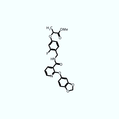 COC(=O)C(C)Oc1ccc(CNC(=O)c2cccnc2Oc2ccc3c(c2)OCO3)c(F)c1